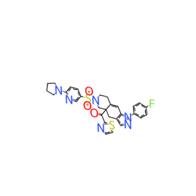 O=C(c1nccs1)C12Cc3cnn(-c4ccc(F)cc4)c3C=C1CCN(S(=O)(=O)c1ccc(N3CCCC3)nc1)C2